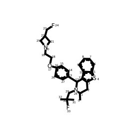 CC1Cc2sc3ccccc3c2C(c2ccc(OCCN3CC(CF)C3)cc2)N1CC(C)(C)F